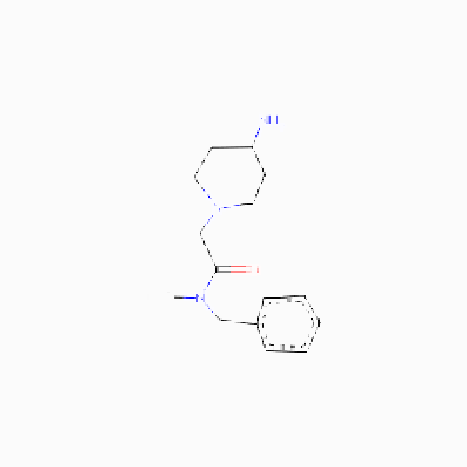 CN(Cc1ccccc1)C(=O)CN1CCC(N)CC1